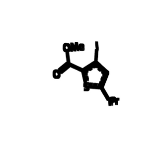 COC(=O)c1sc(C(C)C)cc1I